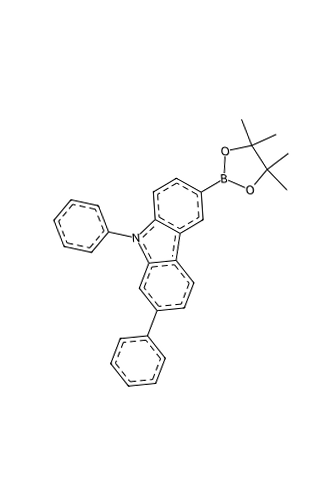 CC1(C)OB(c2ccc3c(c2)c2ccc(-c4ccccc4)cc2n3-c2ccccc2)OC1(C)C